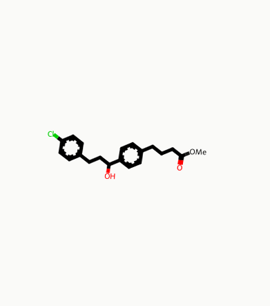 COC(=O)CCCc1ccc(C(O)CCc2ccc(Cl)cc2)cc1